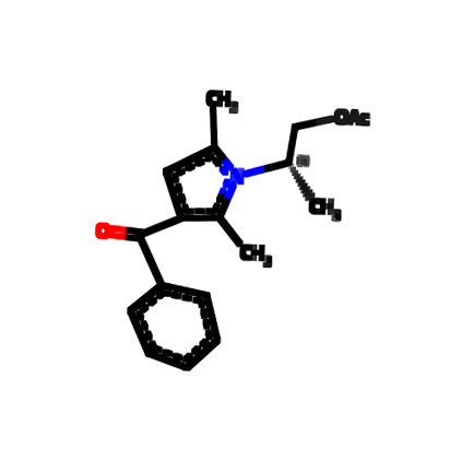 CC(=O)OC[C@H](C)n1c(C)cc(C(=O)c2ccccc2)c1C